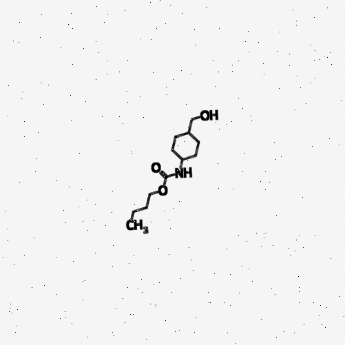 CCCCOC(=O)NC1CCC(CO)CC1